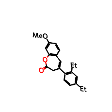 CCc1ccc(C2=Cc3ccc(OC)cc3OC(=O)C2)c(CC)c1